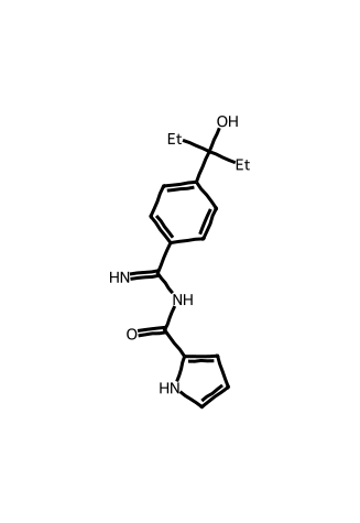 CCC(O)(CC)c1ccc(C(=N)NC(=O)c2ccc[nH]2)cc1